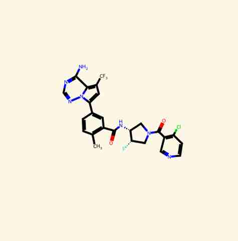 Cc1ccc(-c2cc(C(F)(F)F)c3c(N)ncnn23)cc1C(=O)N[C@@H]1CN(C(=O)c2cnccc2Cl)C[C@@H]1F